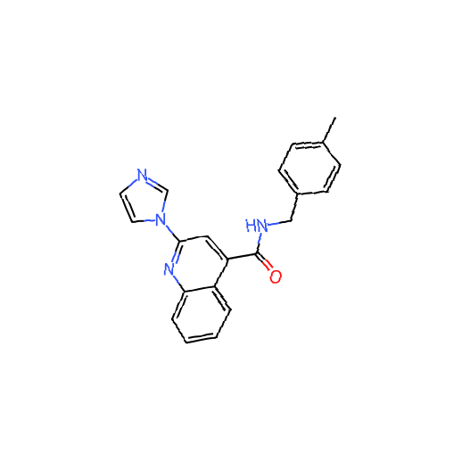 Cc1ccc(CNC(=O)c2cc(-n3ccnc3)nc3ccccc23)cc1